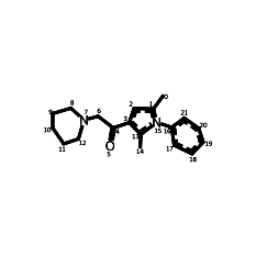 Cc1cc(C(=O)CN2CCCCC2)c(C)n1-c1ccccc1